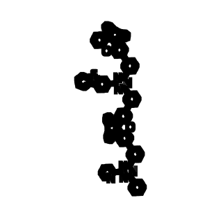 c1ccc(-c2nc(-c3cccc(-c4ccc5c(c4)Oc4cc(-c6cccc(-c7nc(-c8cccc(-c9ccc%10c(c9)Oc9ccccc9C%109c%10ccccc%10-c%10ccccc%109)c8)nc(-c8ccc9c(c8)sc8ccccc89)n7)c6)ccc4C54c5ccccc5-c5ccccc54)c3)nc(-c3ccccn3)n2)cc1